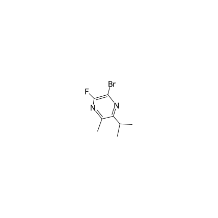 Cc1nc(F)c(Br)nc1C(C)C